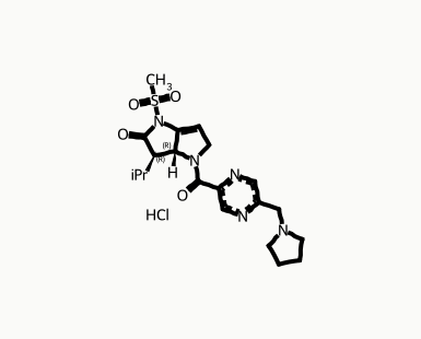 CC(C)[C@H]1C(=O)N(S(C)(=O)=O)C2=CCN(C(=O)c3cnc(CN4CCCC4)cn3)[C@@H]21.Cl